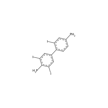 Pc1ccc(-c2cc(I)c(P)c(I)c2)c(I)c1